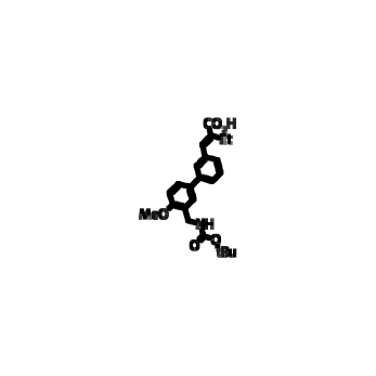 CC/C(=C\c1cccc(-c2ccc(OC)c(CNC(=O)OC(C)(C)C)c2)c1)C(=O)O